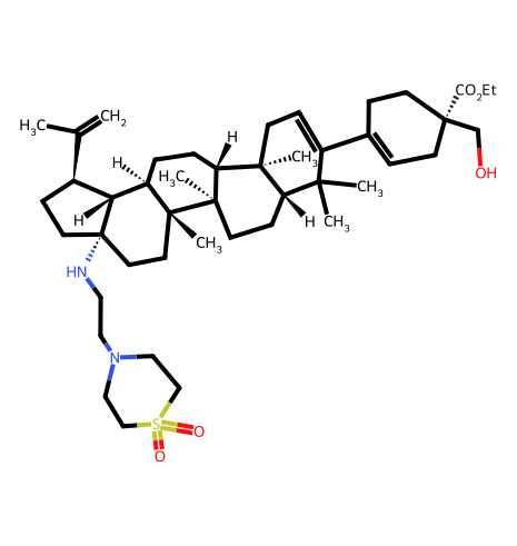 C=C(C)[C@@H]1CC[C@]2(NCCN3CCS(=O)(=O)CC3)CC[C@]3(C)[C@H](CC[C@@H]4[C@@]5(C)CC=C(C6=CC[C@@](CO)(C(=O)OCC)CC6)C(C)(C)[C@@H]5CC[C@]43C)[C@@H]12